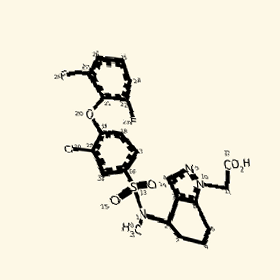 CN(C1CCCc2c1cnn2CC(=O)O)S(=O)(=O)c1ccc(Oc2c(F)cccc2F)c(Cl)c1